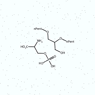 CCCCCOCC(CO)OCCCCC.NC(COP(=O)(O)O)C(=O)O